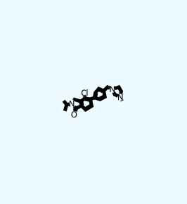 CC(C)N1Cc2c(ccc(-c3ccc(CN4CCN(C)C4)cc3)c2Cl)C1=O